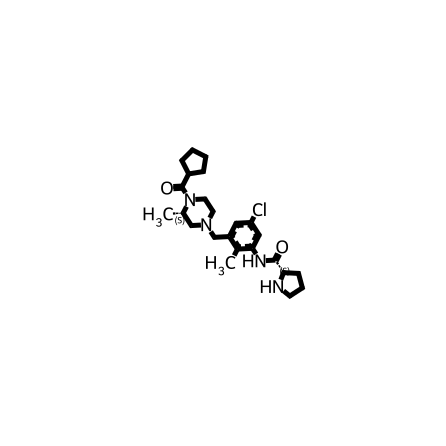 Cc1c(CN2CCN(C(=O)C3CCCC3)[C@@H](C)C2)cc(Cl)cc1NC(=O)[C@@H]1CCCN1